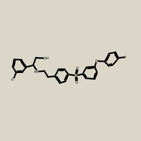 O=S(=O)(c1ccc(CCNC(CO)c2cccc(Cl)c2)cc1)c1cccc(Oc2ccc(F)cc2)c1